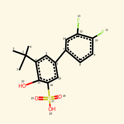 CC(C)(C)c1cc(-c2ccc(F)c(F)c2)cc(S(=O)(=O)O)c1O